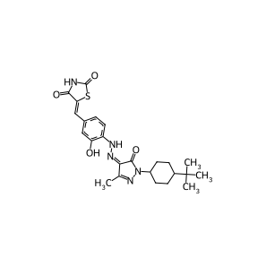 CC1=NN(C2CCC(C(C)(C)C)CC2)C(=O)/C1=N\Nc1ccc(/C=C2\SC(=O)NC2=O)cc1O